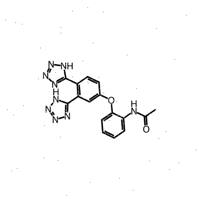 CC(=O)Nc1ccccc1Oc1ccc(-c2nnn[nH]2)c(-c2nnn[nH]2)c1